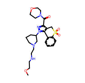 COCCNCCN1CCCC(n2nc(C(=O)N3CCOCC3)c3c2-c2ccccc2S(=O)(=O)C3)C1